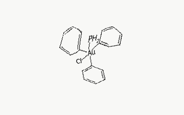 [PH2][Au]([Cl])([c]1ccccc1)([c]1ccccc1)[c]1ccccc1